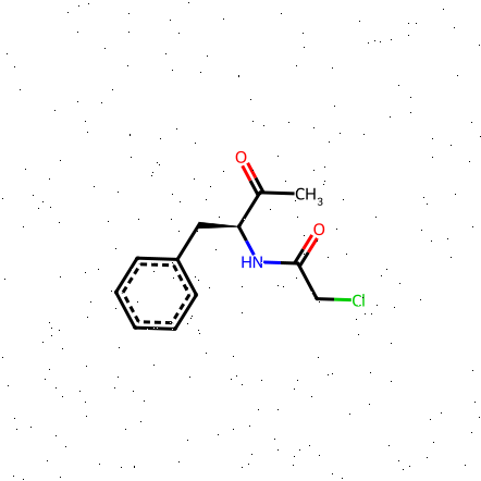 CC(=O)[C@H](Cc1ccccc1)NC(=O)CCl